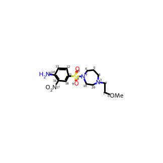 COCCN1CCCN(S(=O)(=O)c2ccc(N)c([N+](=O)[O-])c2)CC1